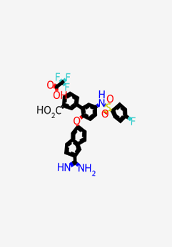 N=C(N)c1ccc2cc(Oc3ccc(NS(=O)(=O)c4ccc(F)cc4)cc3-c3cccc(C(=O)O)c3)ccc2c1.O=C(O)C(F)(F)F